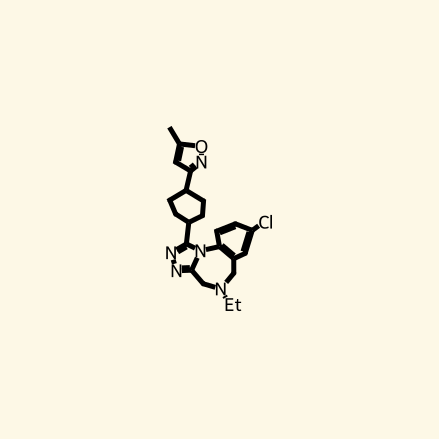 CCN1Cc2cc(Cl)ccc2-n2c(nnc2C2CCC(c3cc(C)on3)CC2)C1